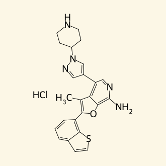 Cc1c(-c2cccc3ccsc23)oc2c(N)ncc(-c3cnn(C4CCNCC4)c3)c12.Cl